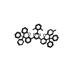 Cc1cccc(C)c1-c1nc(-c2cccc3c2Oc2ccccc2[C@@]3(C2=CC=CCC2)c2ccccc2)cc(C2CC=CC3=C2OC2=CCC(C)C=C2C3(c2ccccc2)c2ccccc2)n1